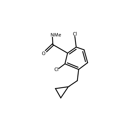 CNC(=O)c1c(Cl)ccc(C[C]2CC2)c1Cl